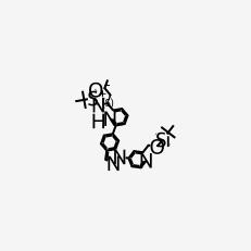 CCC[C@H](N[S+]([O-])C(C)(C)C)c1cccc(-c2ccc3cnn(-c4ccnc(CO[Si](C)(C)C(C)(C)C)c4)c3c2)n1